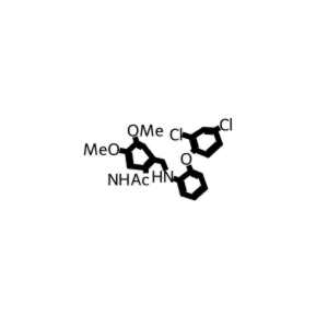 COc1cc(CNc2ccccc2Oc2ccc(Cl)cc2Cl)c(NC(C)=O)cc1OC